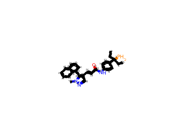 CCC(P)(CC)c1ccc(NC(=O)/C=C/c2cnn(C)c2-c2cccc3ccccc23)cc1